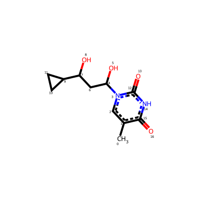 Cc1cn(C(O)CC(O)C2CC2)c(=O)[nH]c1=O